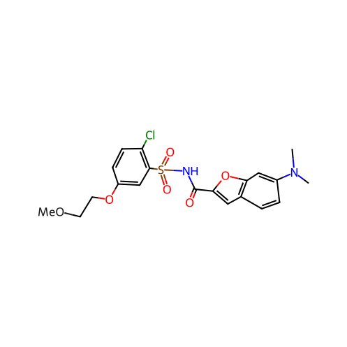 COCCOc1ccc(Cl)c(S(=O)(=O)NC(=O)c2cc3ccc(N(C)C)cc3o2)c1